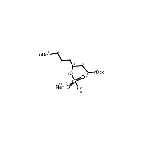 CCCCCCCCCCCCCC(CCCCCCCCCCCC)OS(=O)(=O)[O-].[Na+]